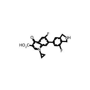 O=C(O)c1cn(C2CC2)c2cc(-c3cc(F)c4c(c3)CNC4)c(F)cc2c1=O